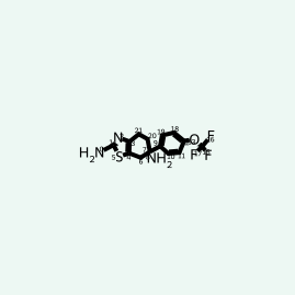 Nc1nc2c(s1)CC(N)(c1ccc(OC(F)(F)F)cc1)CC2